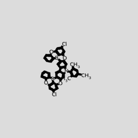 Cc1cc(C)c(-n2c3cc4c(cc3c3cc5c(cc32)Oc2cc(Cl)cc3c2B5c2ccccc2O3)B2c3ccccc3Oc3cc(Cl)cc(c32)O4)c(C)c1